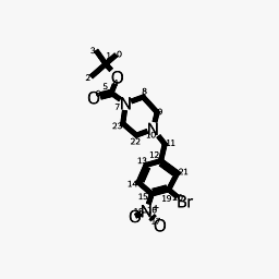 CC(C)(C)OC(=O)N1CCN(Cc2ccc([N+](=O)[O-])c(Br)c2)CC1